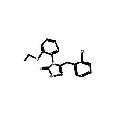 CCOc1ccccc1-n1c(Cc2ccccc2Cl)n[nH]c1=S